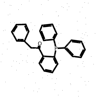 O=C(Cc1ccccc1)c1ccccc1P(c1ccccc1)c1ccccc1